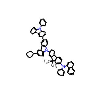 CC1(C)c2cc(N(c3ccccc3)c3cccc4ccccc34)ccc2-c2ccc(-n3c4ccc(-c5ccc6c(c5)c5ccccc5n6-c5ccccc5)cc4c4cc(C5CCCCC5)ccc43)cc21